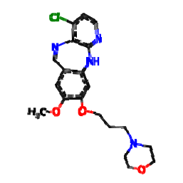 COc1cc2c(cc1OCCCN1CCOCC1)Nc1nccc(Cl)c1N=C2